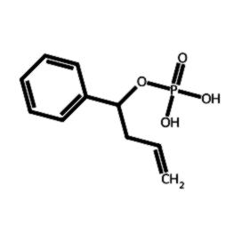 C=CCC(OP(=O)(O)O)c1ccccc1